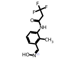 Cc1c(/C=N\O)cccc1NC(=O)CC(F)(F)F